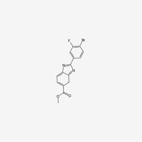 COC(=O)C1=CC=C2N=C(c3ccc(Br)c(F)c3)N=C2C1